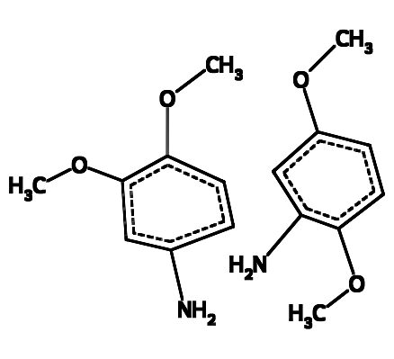 COc1ccc(N)cc1OC.COc1ccc(OC)c(N)c1